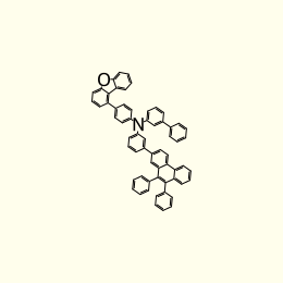 c1ccc(-c2cccc(N(c3ccc(-c4cccc5oc6ccccc6c45)cc3)c3cccc(-c4ccc5c(c4)c(-c4ccccc4)c(-c4ccccc4)c4ccccc45)c3)c2)cc1